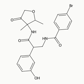 CC1OCC(=O)C1(C)NC(=O)C(CNC(=O)c1ccc(Br)cc1)c1cccc(O)c1